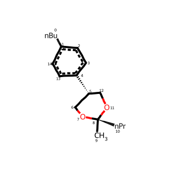 CCCCc1ccc([C@H]2CO[C@](C)(CCC)OC2)cc1